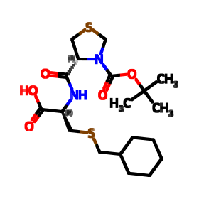 CC(C)(C)OC(=O)N1CSC[C@H]1C(=O)N[C@@H](CSCC1CCCCC1)C(=O)O